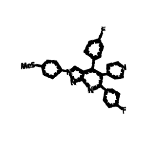 CSc1ccc(-n2cc3c(-c4ccc(F)cc4)c(-c4ccncc4)c(-c4ccc(F)cc4)nc3n2)cc1